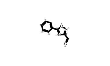 O=Cc1noc(-c2ccccc2)n1